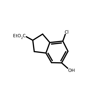 CCOC(=O)C1Cc2cc(O)cc(Cl)c2C1